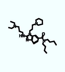 CCCCN(CCCC)C(=O)c1ccc2nc(NCCCN(CC)CC)n(CCCN3CCCCC3)c2c1